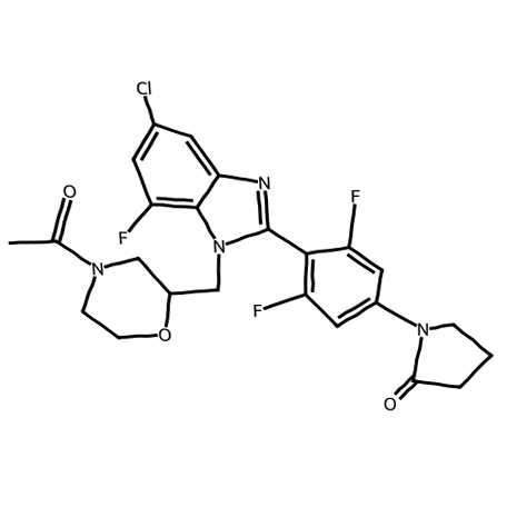 CC(=O)N1CCOC(Cn2c(-c3c(F)cc(N4CCCC4=O)cc3F)nc3cc(Cl)cc(F)c32)C1